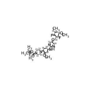 CCc1cc(OC)c(F)c(COc2cnc(Nc3ccc(N4CCN(C(=O)OC(C)(C)C)CC4)c(OC)c3)nc2)c1F